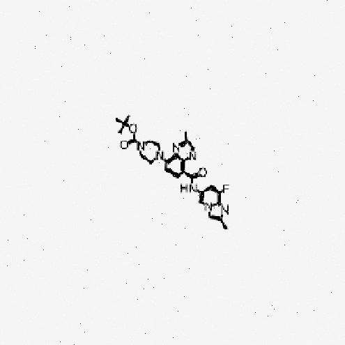 Cc1cnc2c(C(=O)Nc3cc(F)c4nc(C)cn4c3)ccc(N3CCN(C(=O)OC(C)(C)C)CC3)c2n1